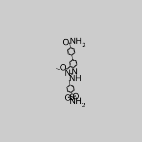 CCOc1nc(NCc2ccc(S(N)(=O)=O)cc2)nc2ccc(-c3ccc(C(N)=O)cc3)cc12